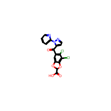 O=C(c1cc2c(c(Cl)c1Cl)OC(C(=O)O)O2)c1ccnn1-c1ccccn1